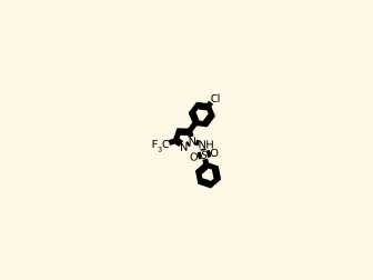 O=S(=O)(Nn1nc(C(F)(F)F)cc1-c1ccc(Cl)cc1)c1ccccc1